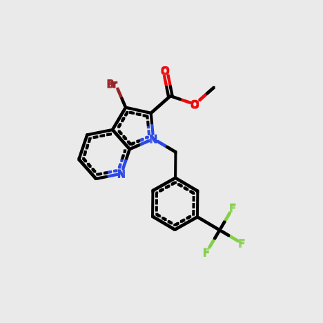 COC(=O)c1c(Br)c2cccnc2n1Cc1cccc(C(F)(F)F)c1